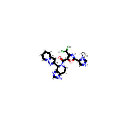 Cn1cncc1-c1nc(C(F)F)c(C(=O)N2CCc3[nH]cnc3C2c2cc3ccccn3n2)o1